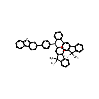 CC1(C)c2ccccc2-c2cc(-c3ccccc3N(c3ccc(-c4ccc5c(c4)oc4ccccc45)cc3)c3ccc4c(c3)C(C)(C)c3ccccc3-4)ccc21